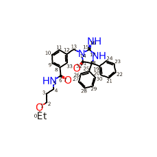 CCOCCCNC(=O)c1cccc(CN2C(=N)NC(c3ccccc3)(c3ccccc3)C2=O)c1